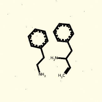 C=CC(N)Cc1ccccc1.NCCc1ccccc1